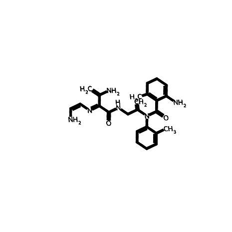 C=C(N)/C(=N\C=C/N)C(=O)NCC(=C)N(C(=O)C1=C(C)CCC=C1N)C1=CCCC=C1C